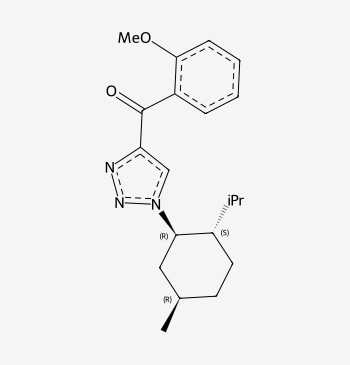 COc1ccccc1C(=O)c1cn([C@@H]2C[C@H](C)CC[C@H]2C(C)C)nn1